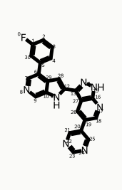 Fc1cccc(-c2cncc3[nH]c(-c4n[nH]c5ncc(-c6cncnc6)cc45)cc23)c1